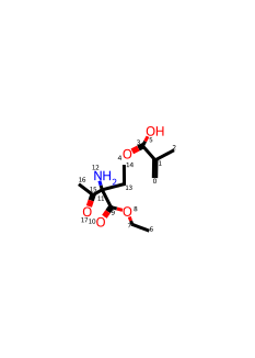 C=C(C)C(=O)O.CCOC(=O)C(N)(CC)C(C)=O